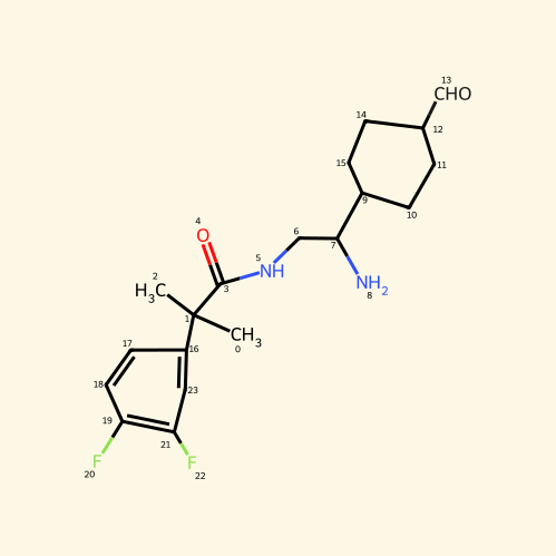 CC(C)(C(=O)NCC(N)C1CCC(C=O)CC1)c1ccc(F)c(F)c1